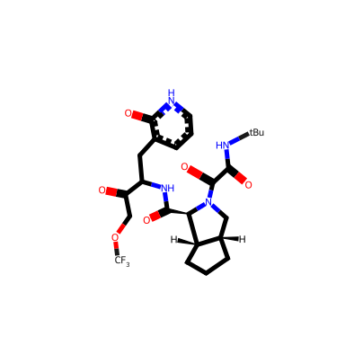 CC(C)(C)NC(=O)C(=O)N1C[C@@H]2CCC[C@@H]2[C@H]1C(=O)NC(Cc1ccc[nH]c1=O)C(=O)COC(F)(F)F